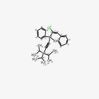 CC(C)[Si](C#C[Si](C)(/C(Cl)=C\c1ccccc1)c1ccccc1)(C(C)C)C(C)C